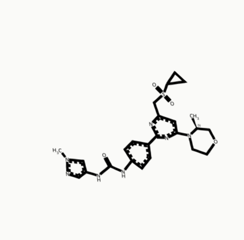 C[C@H]1COCCN1c1cc(CS(=O)(=O)C2CC2)nc(-c2ccc(NC(=O)Nc3cnn(C)c3)cc2)n1